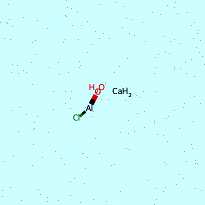 O.[CaH2].[O]=[Al][Cl]